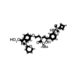 CC(C)(C)OC(=O)N(CCOc1ccc2c(C(=O)O)nn(C3CCCCO3)c2c1)C[C@@H](O)c1cccc(NS(=O)(=O)C2CCC2)c1